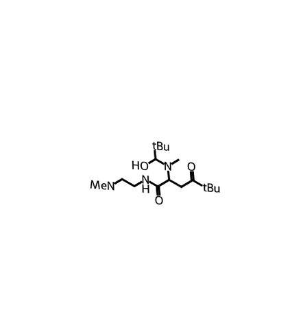 CNCCNC(=O)C(CC(=O)C(C)(C)C)N(C)C(O)C(C)(C)C